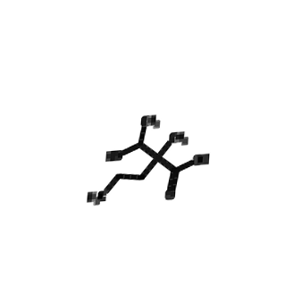 CCCC(C)(C(=O)O)C(C)O